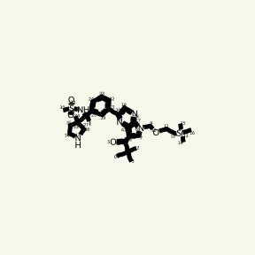 CC(C)(C)C(=O)c1cn(COCC[Si](C)(C)C)c2ncc(-c3cccc(C(I)(NS(C)(=O)=O)C4(C)CCNC4)c3)nc12